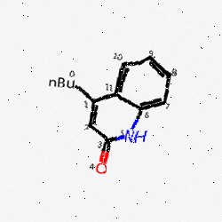 CCCCc1cc(=O)[nH]c2cc[c]cc12